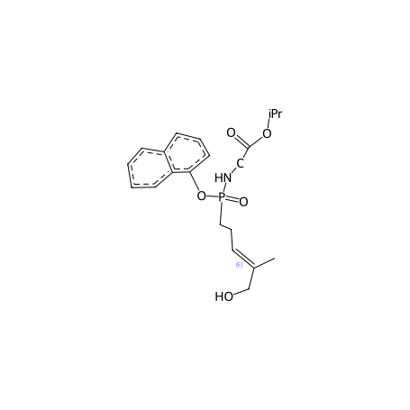 C/C(=C\CCP(=O)(NCC(=O)OC(C)C)Oc1cccc2ccccc12)CO